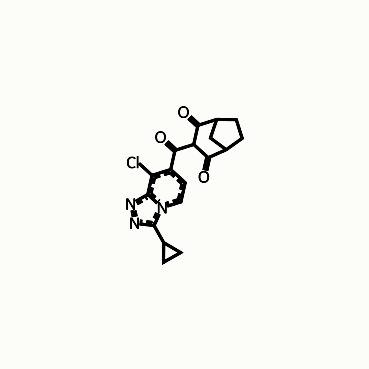 O=C(c1ccn2c(C3CC3)nnc2c1Cl)C1C(=O)C2CCC(C2)C1=O